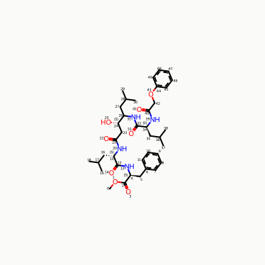 COC(=O)[C@H](Cc1ccccc1)NC(=O)[C@H](CC(C)C)NC(=O)C[C@H](O)C(CC(C)C)NC(=O)[C@H](CC(C)C)NC(=O)COc1ccccc1